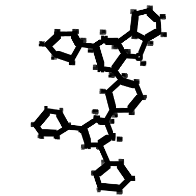 c1ccc(-c2nc(-c3ccccc3)nc(-c3cccc(-c4nc(-c5ccccc5)nc5c4oc4ccccc45)c3)n2)cc1